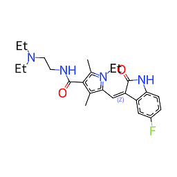 CCN(CC)CCNC(=O)c1c(C)c(/C=C2\C(=O)Nc3ccc(F)cc32)n(CC)c1C